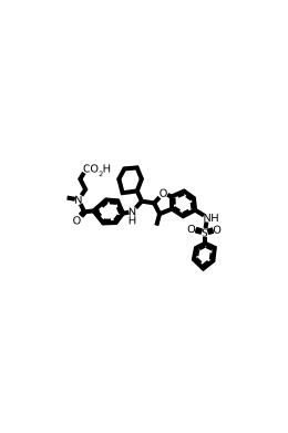 CC1c2cc(NS(=O)(=O)c3ccccc3)ccc2OC1C(Nc1ccc(C(=O)N(C)CCC(=O)O)cc1)C1CCCCC1